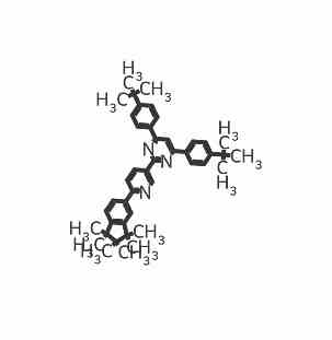 CC(C)(C)c1ccc(-c2cc(-c3ccc(C(C)(C)C)cc3)nc(-c3ccc(-c4ccc5c(c4)C(C)(C)C(C)(C)C5(C)C)nc3)n2)cc1